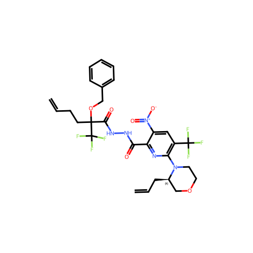 C=CCCC(OCc1ccccc1)(C(=O)NNC(=O)c1nc(N2CCOC[C@H]2CC=C)c(C(F)(F)F)cc1[N+](=O)[O-])C(F)(F)F